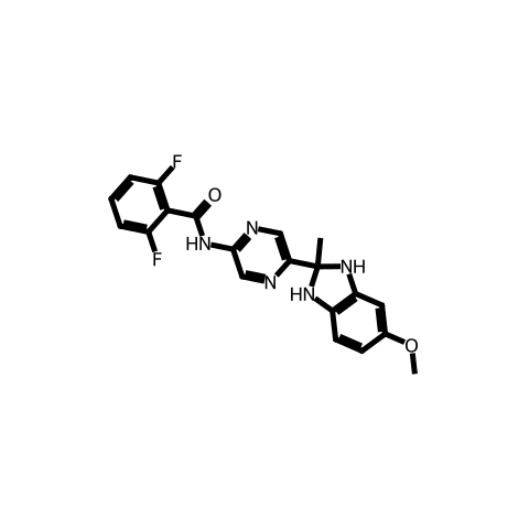 COc1ccc2c(c1)NC(C)(c1cnc(NC(=O)c3c(F)cccc3F)cn1)N2